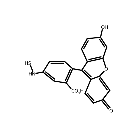 O=C(O)c1cc(NS)ccc1-c1c2ccc(=O)cc-2oc2cc(O)ccc12